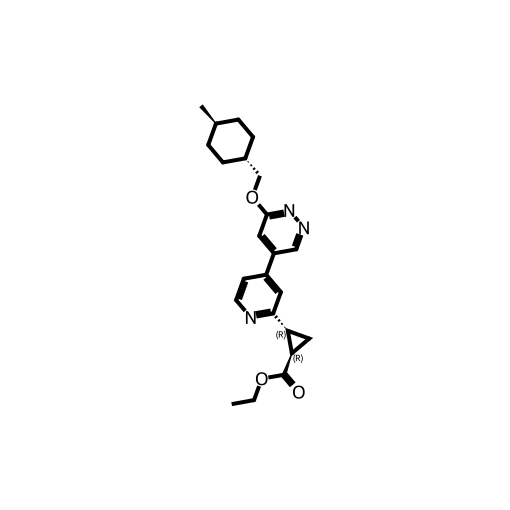 CCOC(=O)[C@@H]1C[C@H]1c1cc(-c2cnnc(OC[C@H]3CC[C@H](C)CC3)c2)ccn1